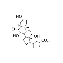 CC[C@H]1[C@@H](O)C2C3CC[C@H]([C@H](C)C[C@@H](C)C(=O)O)[C@@]3(C)[C@@H](O)CC2[C@@]2(C)CC[C@@H](O)C[C@@H]12